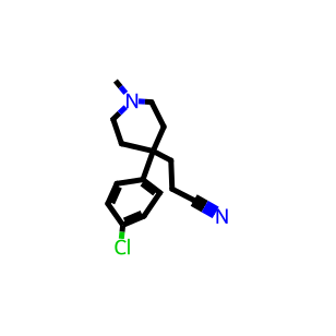 CN1CCC(CCC#N)(c2ccc(Cl)cc2)CC1